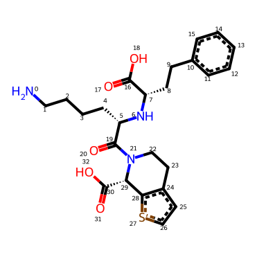 NCCCC[C@H](N[C@@H](CCc1ccccc1)C(=O)O)C(=O)N1CCc2ccsc2[C@@H]1C(=O)O